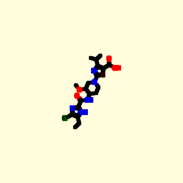 CCc1[nH]c(C(=O)NC2CCN(c3nc(C(C)C)c(C(=O)O)s3)CC2OC)nc1Cl